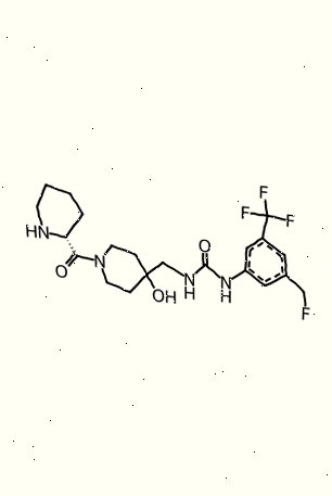 O=C(NCC1(O)CCN(C(=O)[C@H]2CCCCN2)CC1)Nc1cc(CF)cc(C(F)(F)F)c1